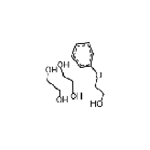 OCCO.OCCO.OCCOc1ccccc1